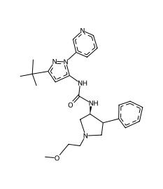 COCCN1CC(c2ccccc2)[C@H](NC(=O)Nc2cc(C(C)(C)C)nn2-c2cccnc2)C1